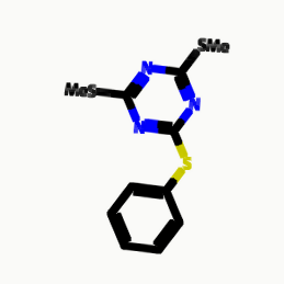 CSc1nc(SC)nc(Sc2ccccc2)n1